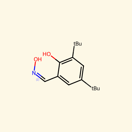 CC(C)(C)c1cc(/C=N\O)c(O)c(C(C)(C)C)c1